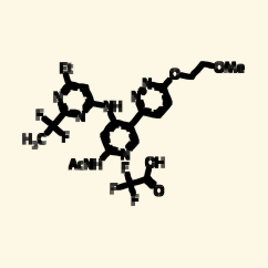 CCc1cc(Nc2cc(NC(C)=O)ncc2-c2ccc(OCCOC)nn2)nc(C(C)(F)F)n1.O=C(O)C(F)(F)F